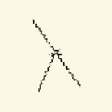 CCCCCCCCCCCCCCCCCC(=O)N(C(=O)CCCCCCCCCCCCCCCCC)C(=O)CCCCCCCCCCCCCCCCC